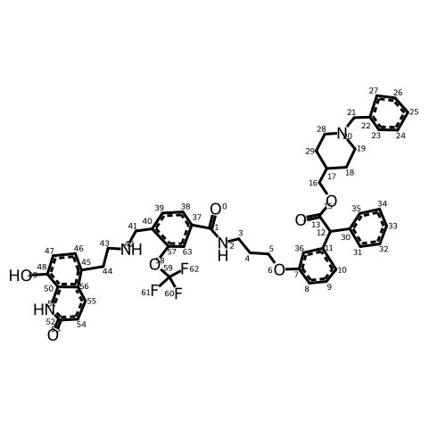 O=C(NCCCOc1cccc(C(C(=O)OCC2CCN(Cc3ccccc3)CC2)c2ccccc2)c1)c1ccc(CNCCc2ccc(O)c3[nH]c(=O)ccc23)c(OC(F)(F)F)c1